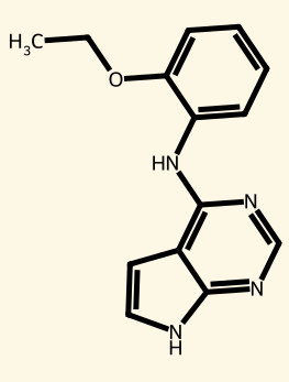 CCOc1ccccc1Nc1ncnc2[nH]ccc12